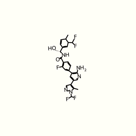 Cc1c(-c2cnc(N)c(-c3ccc(C(=O)N[C@H](CO)C4=CC(C(F)F)C(C)C=C4)c(F)c3)c2)cnn1C(F)F